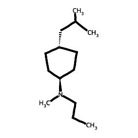 CCCN(C)[C@H]1CC[C@H](CC(C)C)CC1